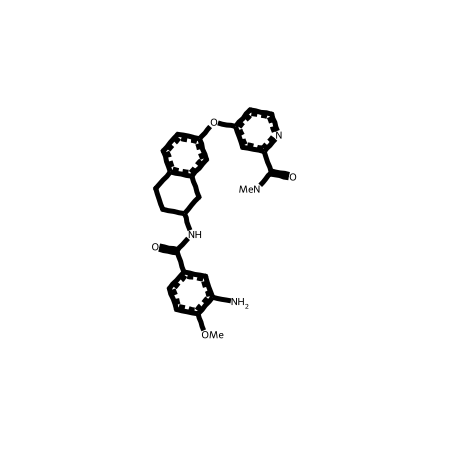 CNC(=O)c1cc(Oc2ccc3c(c2)CC(NC(=O)c2ccc(OC)c(N)c2)CC3)ccn1